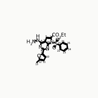 CCOC(=O)c1cc2c(NN)nc(-c3ccc(C)o3)nc2n1S(=O)(=O)c1ccccc1